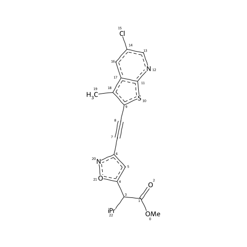 COC(=O)C(c1cc(C#Cc2sc3ncc(Cl)cc3c2C)no1)C(C)C